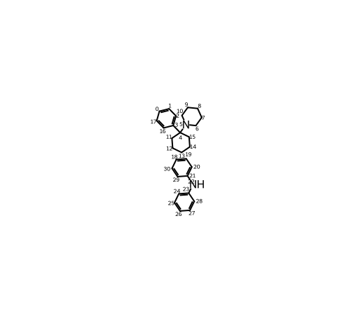 c1ccc(C2(N3CCCCC3)CCCCC2)cc1.c1ccc(Nc2ccccc2)cc1